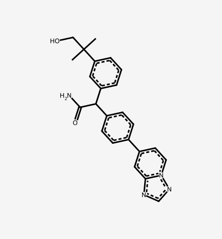 CC(C)(CO)c1cccc(C(C(N)=O)c2ccc(-c3ccn4ncnc4c3)cc2)c1